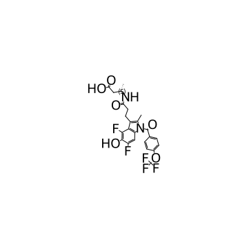 Cc1c(CCC(=O)N[C@@H](C)CC(=O)O)c2c(F)c(O)c(F)cc2n1C(=O)c1ccc(OC(F)(F)F)cc1